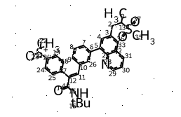 CC(Cc1cc(-c2cccc(/C=C(/C(=O)NC(C)(C)C)c3ccc([S+](C)[O-])cc3)c2)c2ncccc2c1)S(C)(=O)=O